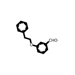 O=[C]c1cccc(OCCc2ccccc2)c1